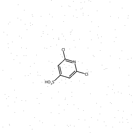 O=S(=O)(O)c1cc(Cl)nc(Cl)c1